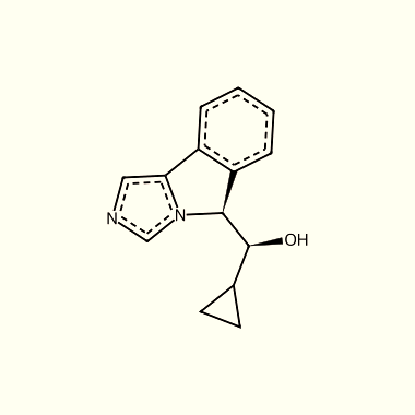 O[C@@H](C1CC1)[C@@H]1c2ccccc2-c2cncn21